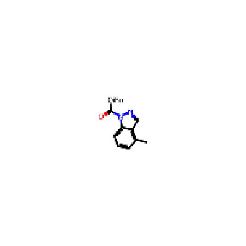 Cc1cccc2c1cnn2C(=O)OCC(C)C